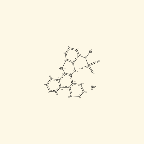 CCC(c1cccc2c1Oc1c(c3nccnc3c3nccnc13)N2)S(=O)(=O)[O-].[Na+]